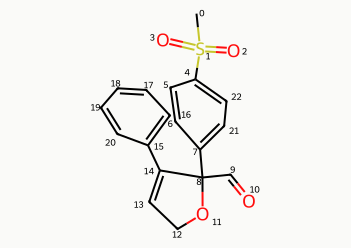 CS(=O)(=O)c1ccc(C2(C=O)OCC=C2c2ccccc2)cc1